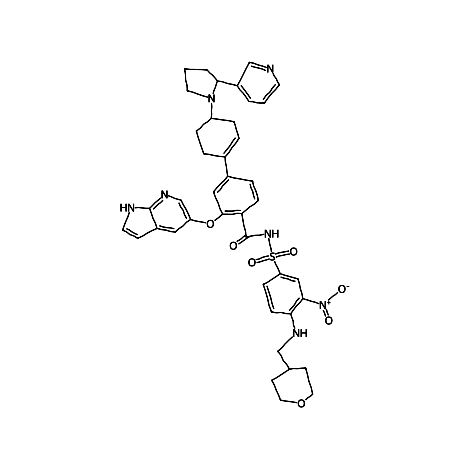 O=C(NS(=O)(=O)c1ccc(NCC2CCOCC2)c([N+](=O)[O-])c1)c1ccc(C2=CCC(N3CCCC3c3cccnc3)CC2)cc1Oc1cnc2[nH]ccc2c1